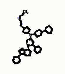 C=C/C=C\C=C\C1C=CC(N(C2=CC=C(C3=CC=CCC3)CC2)c2ccc(-c3cccc4c3ccn4-c3ccccc3)c(-c3ccccc3)c2)=CC1